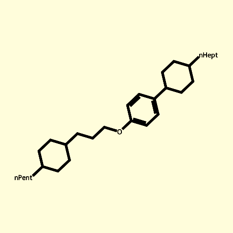 CCCCCCCC1CCC(c2ccc(OCCCC3CCC(CCCCC)CC3)cc2)CC1